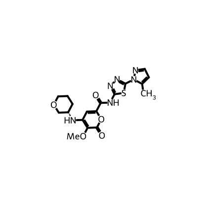 COc1c(N[C@H]2CCCOC2)cc(C(=O)Nc2nnc(-n3nccc3C)s2)oc1=O